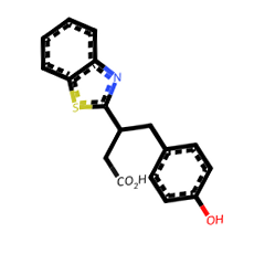 O=C(O)CC(Cc1ccc(O)cc1)c1nc2ccccc2s1